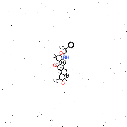 CC1(C)CC[C@]2(NC(=O)/C=C(\C#N)c3ccccc3)CC[C@]3(C)[C@H](C(=O)C=C4[C@@]5(C)C=C(C#N)C(=O)C(C)(C)[C@@H]5CC[C@]43C)[C@@H]2C1